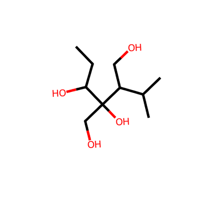 CCC(O)C(O)(CO)C(CO)C(C)C